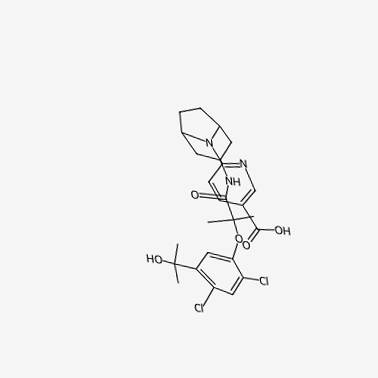 CC(C)(Oc1cc(C(C)(C)O)c(Cl)cc1Cl)C(=O)NC1CC2CCC(C1)N2c1ccc(C(=O)O)cn1